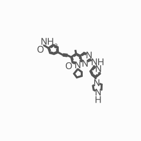 Cc1c(C#Cc2ccc(C(N)=O)cc2)c(=O)n(C2CCCC2)c2nc(Nc3ccc(N4CCNCC4)cn3)ncc12